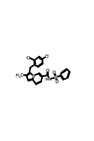 Cc1cc2ccc(C(=O)NS(=O)(=O)c3ccccc3)cn2c1Cc1ccc(Cl)cc1Cl